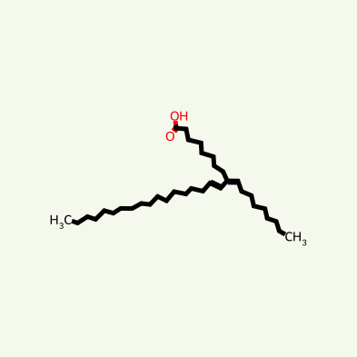 CCCCCCCCC=C(C=CCCCCCCCCCCCCCCCC)CCCCCCCC(=O)O